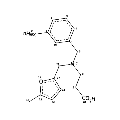 CCCCCCc1cccc(CN(CCC(=O)O)Cc2ccc(C)o2)c1